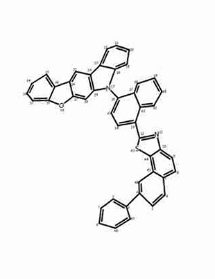 c1ccc(-c2ccc3ccc4nc(-c5ccc(-n6c7ccccc7c7cc8c(cc76)oc6ccccc68)c6ccccc56)sc4c3c2)cc1